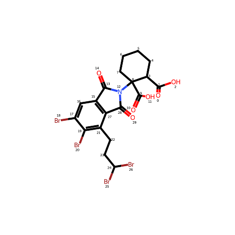 O=C(O)C1CCCCC1(C(=O)O)N1C(=O)c2cc(Br)c(Br)c(CCC(Br)Br)c2C1=O